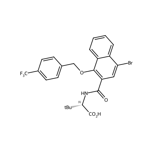 CC(C)(C)[C@H](NC(=O)c1cc(Br)c2ccccc2c1OCc1ccc(C(F)(F)F)cc1)C(=O)O